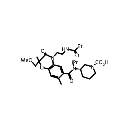 CCC(=O)NCCN1C(=O)C(C)(COC)Oc2cc(C)c(C(=O)N(C(C)C)[C@@H]3CCCN(C(=O)O)C3)cc21